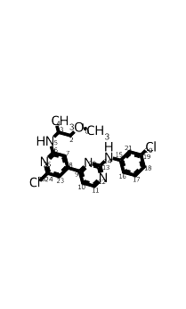 COCC(C)Nc1cc(-c2ccnc(Nc3cccc(Cl)c3)n2)cc(Cl)n1